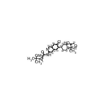 COC(C)(C)C1CC1C(=O)Nc1cc2cc(C3CCN([C@]4(C)COC[C@@H]4O)CC3)c(Cl)cc2cn1